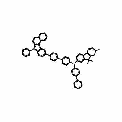 CC1C=CC2=C(C1)C(C)(C)c1cc(N(c3ccc(-c4ccccc4)cc3)c3ccc(-c4ccc(-c5ccc6c(c5)c5c7ccccc7ccc5n6-c5ccccc5)cc4)cc3)ccc12